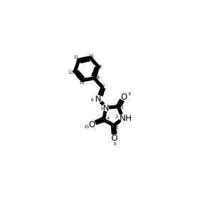 O=C1NC(=O)N(N=Cc2ccccc2)C1=O